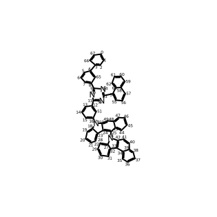 c1ccc(-c2cccc(-c3nc(-c4cccc(-n5c6ccccc6c6c(-n7c8ccccc8c8c9ccccc9ccc87)c7ccccc7cc65)c4)nc(-c4cccc5ccccc45)n3)c2)cc1